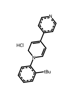 CC(C)(C)c1ccccc1N1C=CC(c2ccncc2)=CC1.Cl